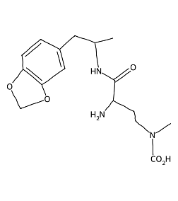 CC(Cc1ccc2c(c1)OCO2)NC(=O)C(N)CCN(C)C(=O)O